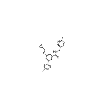 Cc1ccc(CNC(=O)c2cc(OCC3CC3)cc(-c3ncc(C)s3)c2)nn1